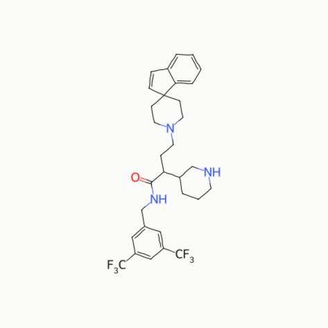 O=C(NCc1cc(C(F)(F)F)cc(C(F)(F)F)c1)C(CCN1CCC2(C=Cc3ccccc32)CC1)C1CCCNC1